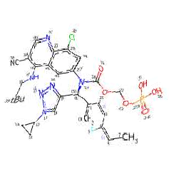 C=C(/C=C\C(F)=C/C)[C@@H](c1cn(C2CC2)nn1)N(C(=O)OCOP(=O)(O)O)c1cc(Cl)c2ncc(C#N)c(NCC(C)(C)C)c2c1